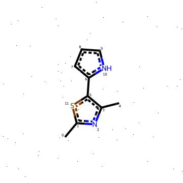 Cc1nc(C)c(-c2ccc[nH]2)s1